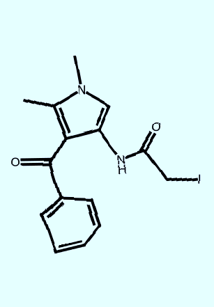 Cc1c(C(=O)c2ccccc2)c(NC(=O)CI)cn1C